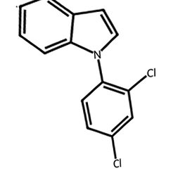 Clc1ccc(-n2ccc3c[c]ccc32)c(Cl)c1